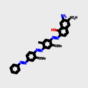 COc1cc(N=Nc2ccccc2)ccc1N=Nc1cc(OC)c(N=Nc2ccc3cc(S(=O)(=O)O)c(N)cc3c2O)cc1C